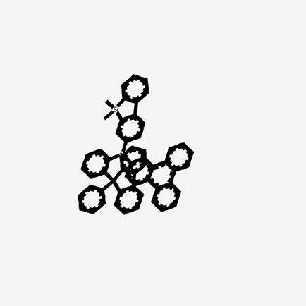 C[Si]1(C)c2ccccc2-c2ccc(N(c3ccc4c5ccccc5c5ccccc5c4c3)c3ccccc3C3(c4ccccc4)c4ccccc4-c4ccccc43)cc21